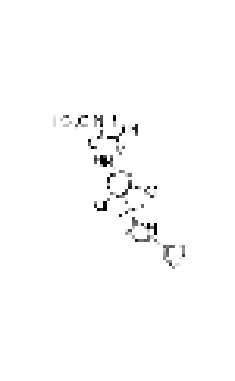 CC(C)(c1nc(-c2ccccc2)cs1)c1c(Cl)cc(NN=C(C#N)C(=O)NC(=O)O)cc1Cl